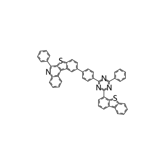 c1ccc(-c2nc(-c3ccc(-c4ccc5sc6c(-c7ccccc7)nc7ccccc7c6c5c4)cc3)nc(-c3cccc4c3sc3ccccc34)n2)cc1